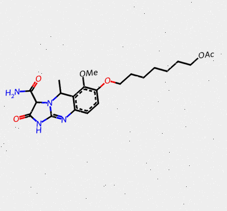 COc1c(OCCCCCCCOC(C)=O)ccc2c1C(C)N1C(=N2)NC(=O)C1C(N)=O